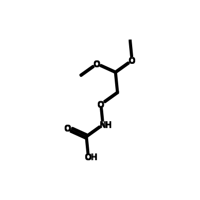 COC(CONC(=O)O)OC